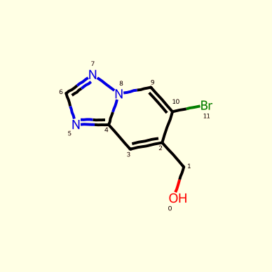 OCc1cc2ncnn2cc1Br